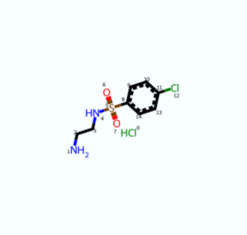 Cl.NCCNS(=O)(=O)c1ccc(Cl)cc1